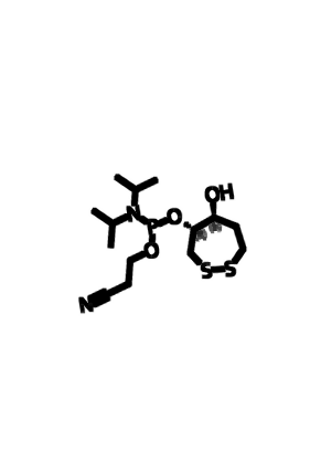 CC(C)N(C(C)C)P(OCCC#N)O[C@H]1CSSCC[C@@H]1O